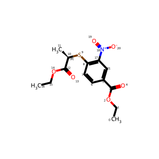 CCOC(=O)c1ccc(S[C@H](C)C(=O)OCC)c([N+](=O)[O-])c1